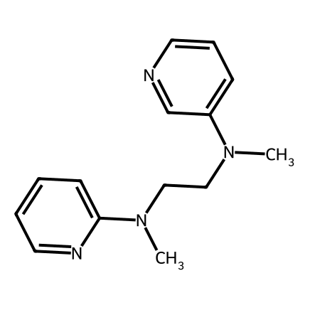 CN(CCN(C)c1ccccn1)c1cccnc1